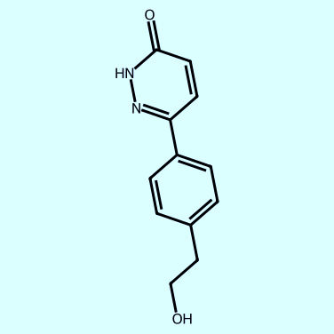 O=c1ccc(-c2ccc(CCO)cc2)n[nH]1